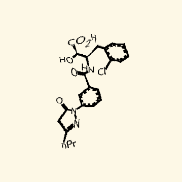 CCCC1=NN(c2cccc(C(=O)N[C@H](Cc3ccccc3Cl)[C@@H](O)C(=O)O)c2)C(=O)C1